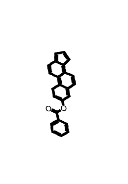 O=C(OC1=CCc2c(ccc3c4c(ccc23)=CC=C4)=C1)c1ccccc1